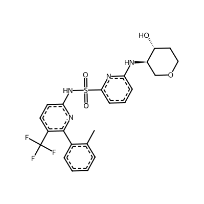 Cc1ccccc1-c1nc(NS(=O)(=O)c2cccc(N[C@@H]3COCC[C@H]3O)n2)ccc1C(F)(F)F